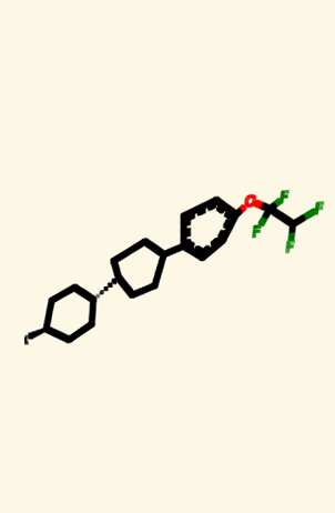 CCCCCC[C@H]1CC[C@H](C2CCC(c3ccc(OC(F)(F)C(F)F)cc3)CC2)CC1